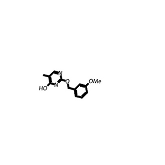 COc1cccc(COc2ncc(C)c(O)n2)c1